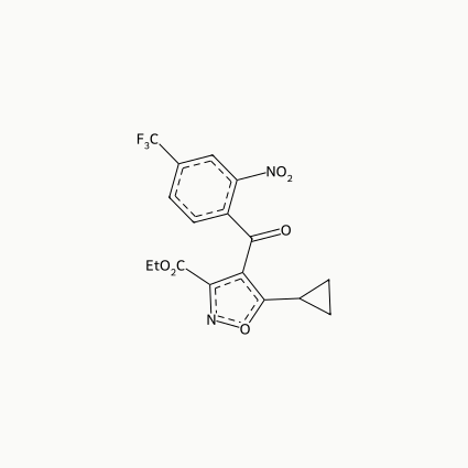 CCOC(=O)c1noc(C2CC2)c1C(=O)c1ccc(C(F)(F)F)cc1[N+](=O)[O-]